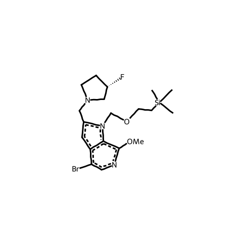 COc1ncc(Br)c2cc(CN3CC[C@H](F)C3)n(COCC[Si](C)(C)C)c12